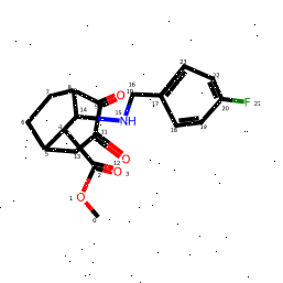 COC(=O)C1C2CCC(C(=O)C(=O)C2)C1NCc1ccc(F)cc1